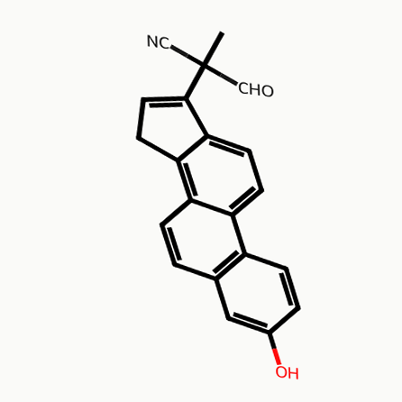 CC(C#N)(C=O)C1=CCc2c1ccc1c2ccc2cc(O)ccc21